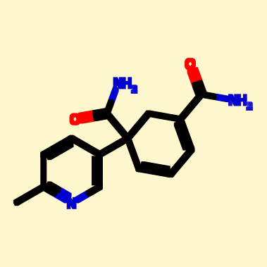 Cc1ccc(C2(C(N)=O)C=CC=C(C(N)=O)C2)cn1